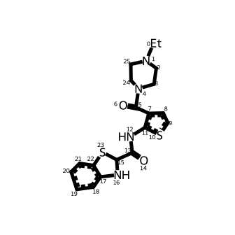 CCN1CCN(C(=O)c2ccsc2NC(=O)C2Nc3ccccc3S2)CC1